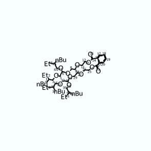 CCCCC(CC)COCC(OCCOCCOC(=O)c1ccccc1C(=O)OCCOCCOC(COCC(CC)CCCC)OCC(CC)CCCC)OCC(CC)CCCC